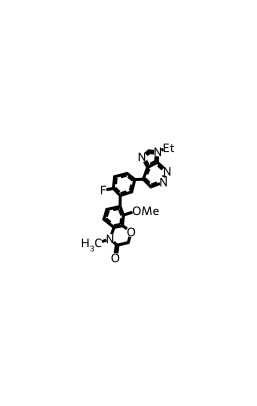 CCn1cnc2c(-c3ccc(F)c(-c4ccc5c(c4OC)OCC(=O)N5C)c3)cnnc21